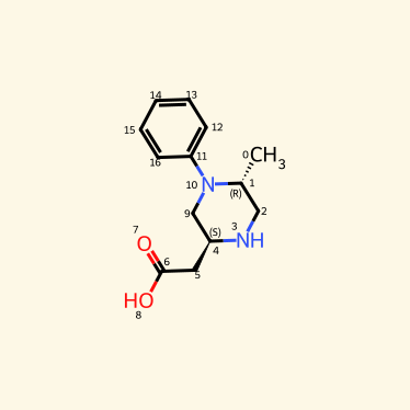 C[C@@H]1CN[C@@H](CC(=O)O)CN1c1ccccc1